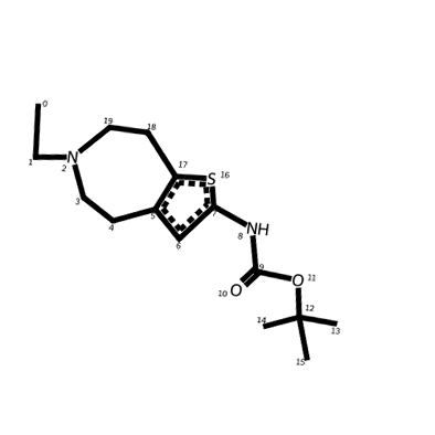 CCN1CCc2cc(NC(=O)OC(C)(C)C)sc2CC1